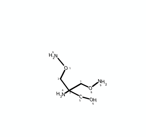 NOCC(N)(CO)CON